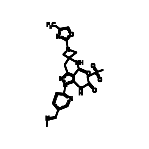 C/N=C/c1ccc(-n2nc3c(c2NC(=O)CS(C)(=O)=O)C(=O)NC2(C3)CN(c3nc(C(F)(F)F)co3)C2)nc1